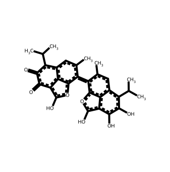 Cc1cc2c(C(C)C)c(O)c(O)c3c(O)oc(/c1=c1/c(C)cc4c(C(C)C)c(=O)c(=O)c5c(O)oc1c45)c23